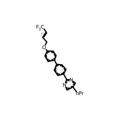 CCCc1cnc(-c2ccc(-c3ccc(OC/C=C/C(F)(F)F)cc3)cc2)nc1